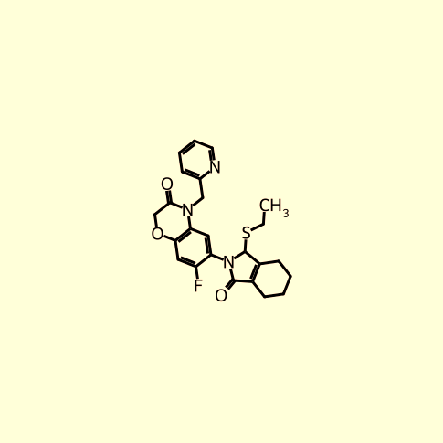 CCSC1C2=C(CCCC2)C(=O)N1c1cc2c(cc1F)OCC(=O)N2Cc1ccccn1